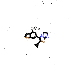 COc1cc(C2=C(C3CC3)SC3=NCCN32)cc2sccc12